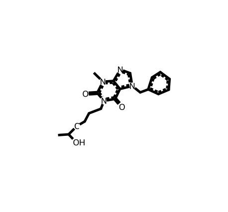 CC(O)CCCCn1c(=O)c2c(ncn2Cc2ccccc2)n(C)c1=O